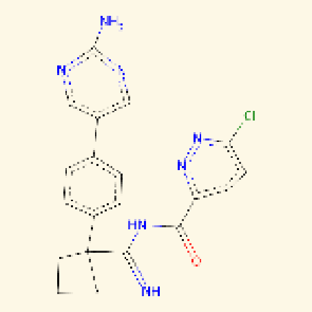 N=C(NC(=O)c1ccc(Cl)nn1)C1(c2ccc(-c3cnc(N)nc3)cc2)CCC1